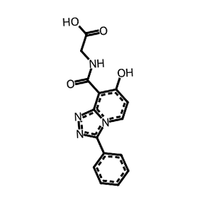 O=C(O)CNC(=O)c1c(O)ccn2c(-c3ccccc3)nnc12